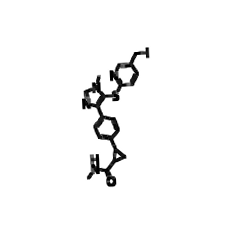 CNC(=O)C1CC1c1ccc(-c2ncn(C)c2Sc2ccc(CI)cn2)cc1